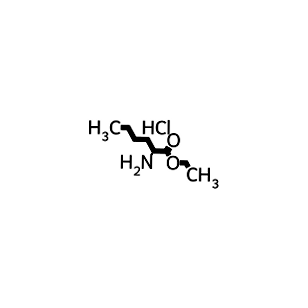 CCCC[C@@H](N)C(=O)OCC.Cl